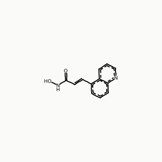 O=C(C=Cc1cccc2ncccc12)NO